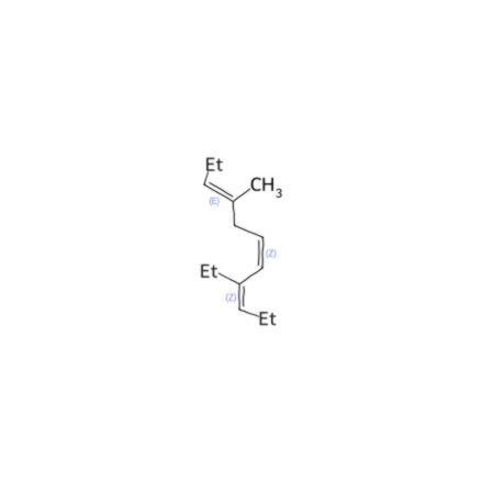 CC/C=C(\C=C/C/C(C)=C/CC)CC